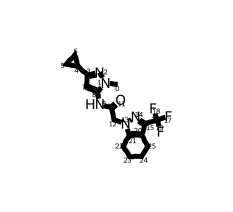 Cn1nc(C2CC2)cc1NC(=O)Cn1nc(C(F)(F)F)c2c1CCCC2